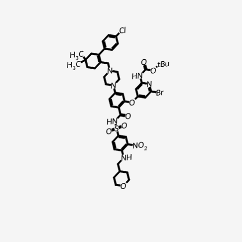 CC1(C)CCC(CN2CCN(c3ccc(C(=O)NS(=O)(=O)c4ccc(NCC5CCOCC5)c([N+](=O)[O-])c4)c(Oc4cc(Br)nc(NC(=O)OC(C)(C)C)c4)c3)CC2)=C(c2ccc(Cl)cc2)C1